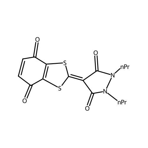 CCCN1C(=O)C(=C2SC3=C(S2)C(=O)C=CC3=O)C(=O)N1CCC